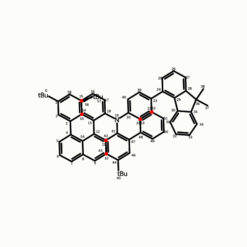 CC(C)(C)c1cc(-c2cccc3cccc(-c4ccccc4N(c4ccc(-c5cccc6c5-c5ccccc5C6(C)C)cc4)c4ccc(C(C)(C)C)cc4-c4ccccc4)c23)cc(C(C)(C)C)c1